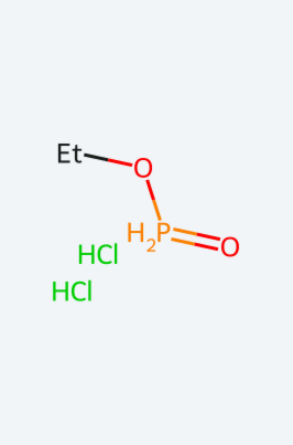 CCO[PH2]=O.Cl.Cl